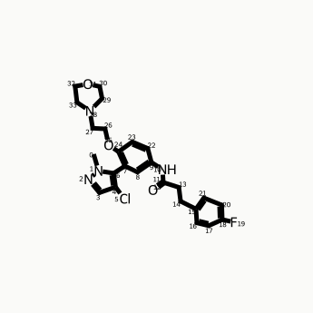 Cn1ncc(Cl)c1-c1cc(NC(=O)CCc2ccc(F)cc2)ccc1OCCN1CCOCC1